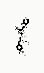 N[C@@H](CNc1nc(Br)c(-c2nc3ccncc3s2)s1)Cc1ccc(C(F)(F)F)cc1